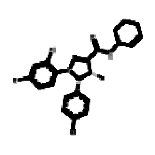 C[C@H]1C(C(=O)NN2C=CCCC2)=NN(c2ccc(Cl)cc2Cl)[C@H]1c1ccc(Cl)cc1